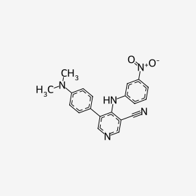 CN(C)c1ccc(-c2cncc(C#N)c2Nc2cccc([N+](=O)[O-])c2)cc1